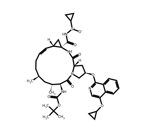 C[C@H]1CC/C=C\[C@@H]2C[C@@]2(C(=O)N[S+]([O-])C2CC2)NC(=O)[C@@H]2C[C@@H](Oc3ncc(OC4CC4)c4ccccc34)CN2C(=O)[C@@H](NC(=O)OC(C)(C)C)[C@H](C)C1